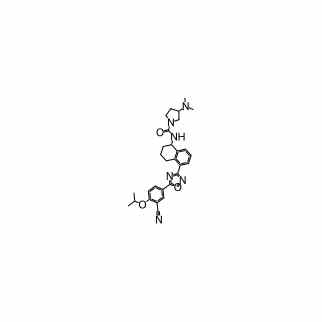 CC(C)Oc1ccc(-c2nc(-c3cccc4c3CCC[C@H]4NC(=O)N3CC[C@@H](N(C)C)C3)no2)cc1C#N